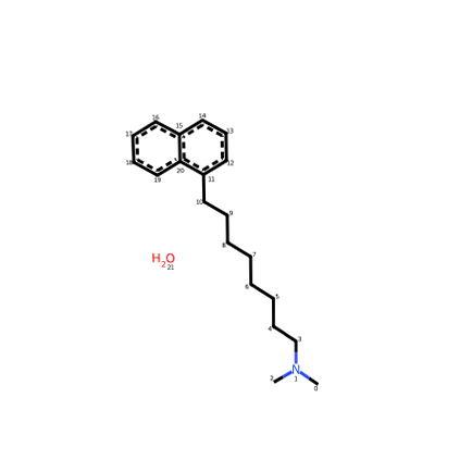 CN(C)CCCCCCCCc1cccc2ccccc12.O